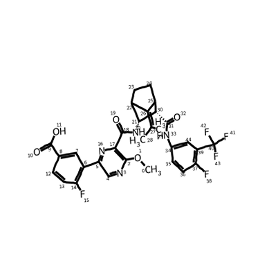 COc1ncc(-c2cc(C(=O)O)ccc2F)nc1C(=O)N[C@@H]1C2CCC(C2=C(C)C)[C@@H]1C(=O)Nc1ccc(F)c(C(F)(F)F)c1